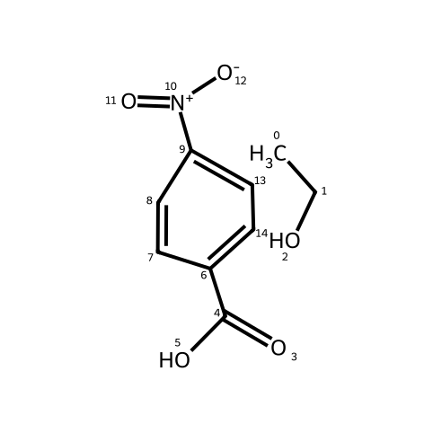 CCO.O=C(O)c1ccc([N+](=O)[O-])cc1